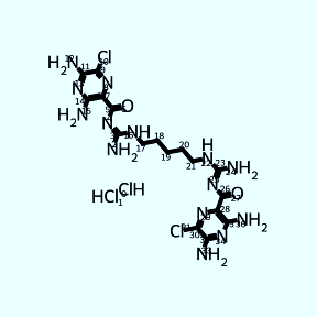 Cl.Cl.NC(=NC(=O)c1nc(Cl)c(N)nc1N)NCCCCCNC(N)=NC(=O)c1nc(Cl)c(N)nc1N